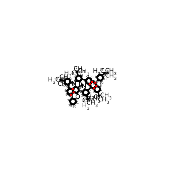 CC(C)(C)c1ccc(N(c2ccc(C(C)(C)C)cc2)c2ccc3c(c2)N(c2ccc(C(C)(C)C)cc2-c2ccccc2)B2c4cc5c(cc4N(c4ccc(C(C)(C)C)cc4-c4ccccc4)c4cc(C(C)(C)C)cc-3c42)Oc2ccccc2O5)cc1